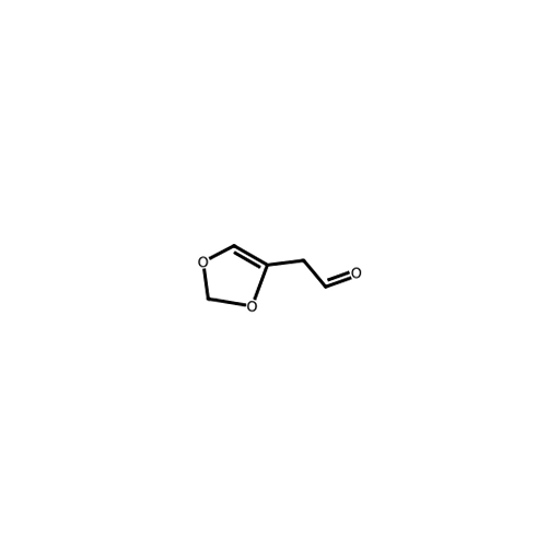 O=CCC1=COCO1